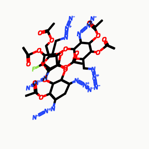 CC(=O)OCC1OC(OC2C(OC(C)=O)C(N=[N+]=[N-])CC(N=[N+]=[N-])C2OC2OC(CN=[N+]=[N-])C(OC(C)=O)C(F)C2N=[N+]=[N-])C(OC(C)=O)C1OC1OC(CN=[N+]=[N-])C(OC(C)=O)C(OC(C)=O)C1N=[N+]=[N-]